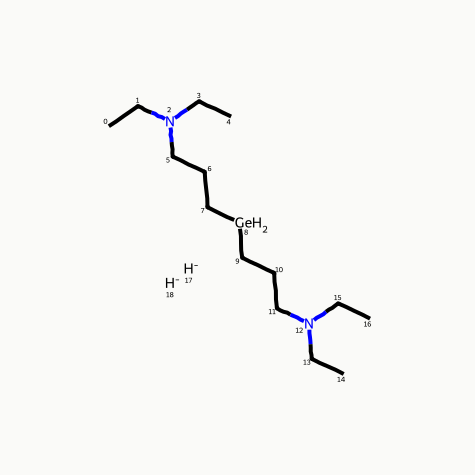 CCN(CC)CC[CH2][GeH2][CH2]CCN(CC)CC.[H-].[H-]